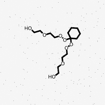 OCCOCCOOC1(OOCCOCCO)CCCCC1